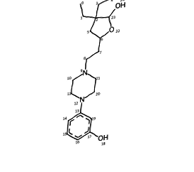 CCC1(CC)CC(CCN2CCN(c3cccc(O)c3)CC2)OC1O